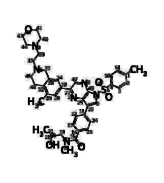 Cc1ccc(S(=O)(=O)n2cc(-c3ccc(C(=O)N(C)C[C@@H](C)O)cc3)c3nc(-c4cc(C)c5c(c4)CN(CCN4CCOCC4)CC5)cnc32)cc1